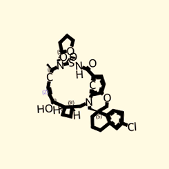 C[C@@H]1C/C=C\[C@H](O)[C@@H]2CC[C@H]2CN2C[C@@]3(CCCc4cc(Cl)ccc43)COc3ccc(cc32)C(=O)NS(=O)(=O)N1C[C@@H]1CCCO1